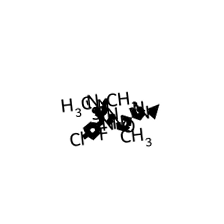 CCn1/c(=N/C)sc2c(-c3ccc(Cl)cc3F)nc(N3C[C@@H](C)O[C@@H](c4cnn(C5CC5)c4)C3)nc21